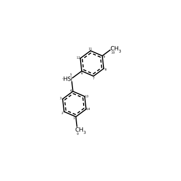 Cc1ccc([SiH]c2ccc(C)cc2)cc1